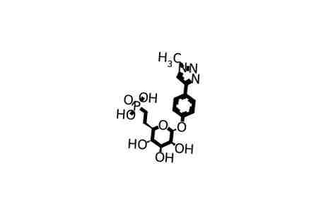 Cn1cc(-c2ccc(O[C@H]3O[C@H](CCP(=O)(O)O)[C@@H](O)[C@H](O)[C@@H]3O)cc2)nn1